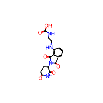 O=C(O)NCCNc1cccc2c1C(=O)N(C1CCC(=O)NC1=O)C2=O